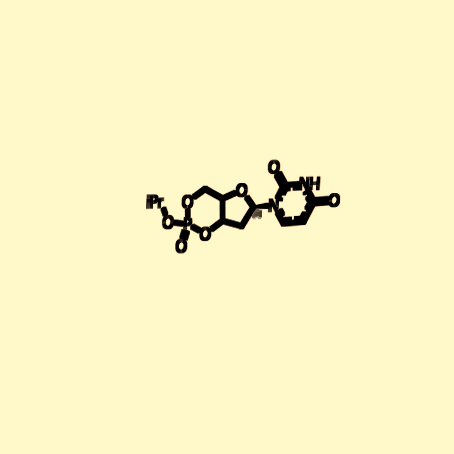 CC(C)OP1(=O)OCC2O[C@@H](n3ccc(=O)[nH]c3=O)CC2O1